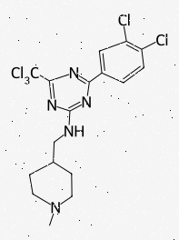 CN1CCC(CNc2nc(-c3ccc(Cl)c(Cl)c3)nc(C(Cl)(Cl)Cl)n2)CC1